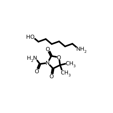 CC1(C)OC(=O)N(C(N)=O)C1=O.NCCCCCCO